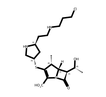 C[C@@H](O)[C@H]1C(=O)N2C(C(=O)O)=C(S[C@@H]3CN[C@@H](CCNCCCCl)C3)[C@H](C)[C@H]12